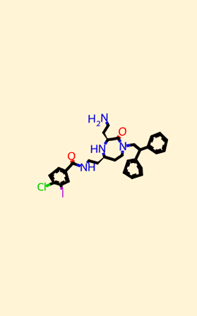 NCC[C@@H]1N[C@H](CCNC(=O)c2ccc(Cl)c(I)c2)CCN(CC(c2ccccc2)c2ccccc2)C1=O